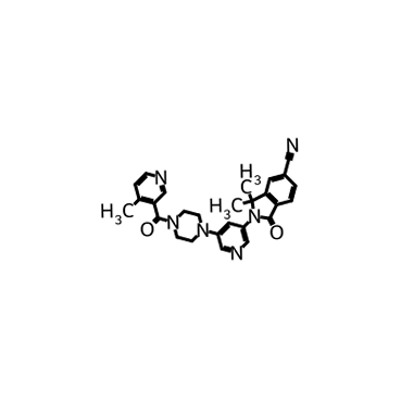 Cc1ccncc1C(=O)N1CCN(c2cncc(N3C(=O)c4ccc(C#N)cc4C3(C)C)c2)CC1